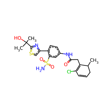 CC1CC=CC(Cl)=C1CC(=O)Nc1ccc(-c2csc(C(C)(C)O)n2)c(S(N)(=O)=O)c1